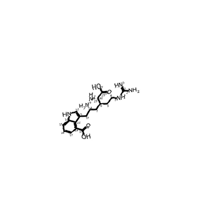 N=C(N)NCCC(C[C@@H](N)Cc1c[nH]c2cccc(C(=O)O)c12)[C@H](N)C(=O)O